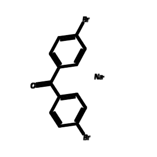 O=C(c1ccc(Br)cc1)c1ccc(Br)cc1.[Na]